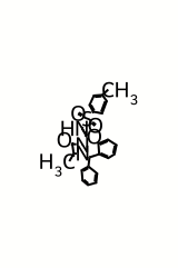 Cc1ccc(S(=O)(=O)NC(=O)N2C(=O)C(C)N2C(c2ccccc2)c2ccccc2)cc1